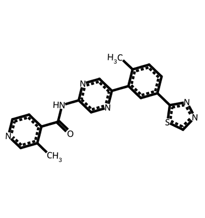 Cc1cnccc1C(=O)Nc1cnc(-c2cc(-c3nncs3)ccc2C)cn1